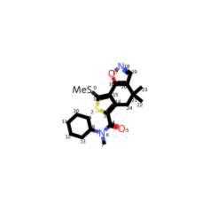 CSc1sc(C(=O)N(C)C2CCCCC2)c2c1-c1oncc1C(C)(C)C2